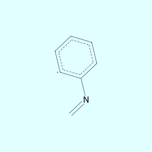 C=Nc1[c]cccc1